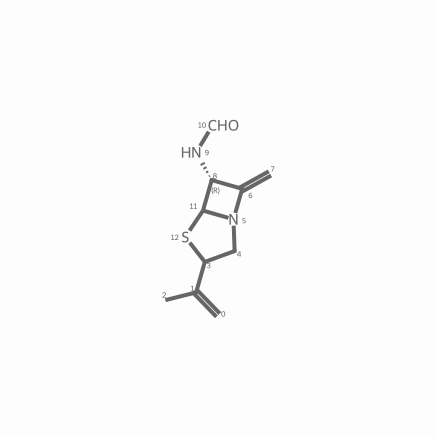 C=C(C)C1CN2C(=C)[C@@H](NC=O)C2S1